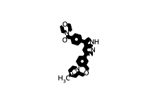 CN1CCN2c3ccc(-c4cc5c(-c6ccc(C(=O)N7CCOCC7)cc6)c[nH]c5nn4)cc3COCC2C1